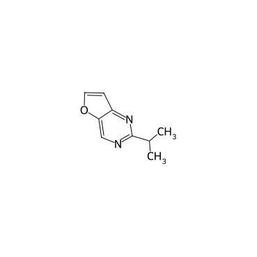 CC(C)c1ncc2occc2n1